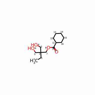 CCC(CO)(CO)COC(=O)C1CCCCC1